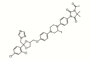 CC(=O)N1C(=O)N(c2ccc(N3CCN(c4ccc(OCC5COC(Cn6cncn6)(c6ccc(Cl)cc6Cl)O5)cc4)CC3I)cc2)C(=O)C1(C)C